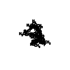 CC[C@@]1(O)C(=O)OCc2c1cc1n(c2=O)Cc2c-1nc1cc(F)c(C)c3c1c2[C@@H](NC(=O)OCc1ccc(NC(=O)[C@H](C)NC(=O)[C@@H](NC(=O)CCOCCC(=O)C(C)C)C(C)C)c(O[C@@H]2O[C@H](C(=O)O)[C@@H](O)[C@H](O)[C@H]2O)c1)CC3